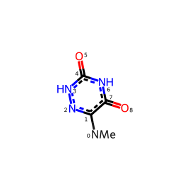 CNc1n[nH]c(=O)[nH]c1=O